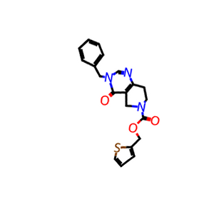 O=C(OCc1cccs1)N1CCc2ncn(Cc3ccccc3)c(=O)c2C1